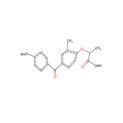 COC(=O)C(C)Oc1ccc(C(=O)c2ccc(OC)cc2)cc1C